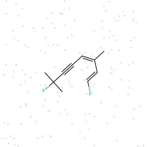 CC(C=CF)=CC#CC(C)(C)F